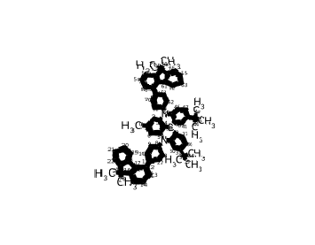 Cc1cc2c3c(c1)N(c1ccc(-c4cccc5c4-c4ccccc4C5(C)C)cc1)c1cc(C(C)(C)C)ccc1B3c1cc(C(C)(C)C)ccc1N2c1ccc(-c2cccc3c2-c2ccccc2C3(C)C)cc1